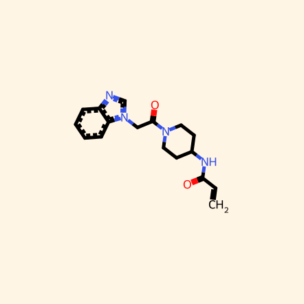 C=CC(=O)NC1CCN(C(=O)Cn2cnc3ccccc32)CC1